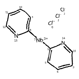 [Cl-].[Cl-].[Cl-].c1cc[c]([Nb+3][c]2ccccn2)nc1